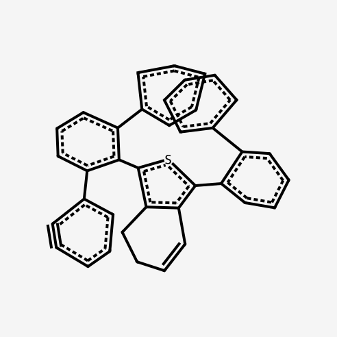 c1cccc(-c2cccc(-c3ccccc3)c2-c2sc(-c3ccccc3-c3ccccc3)c3c2CCC=C3)c#1